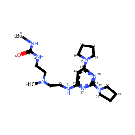 CN(CCNC(=O)NC(C)(C)C)CCNc1cc(N2CCCC2)nc(N2CCCC2)n1